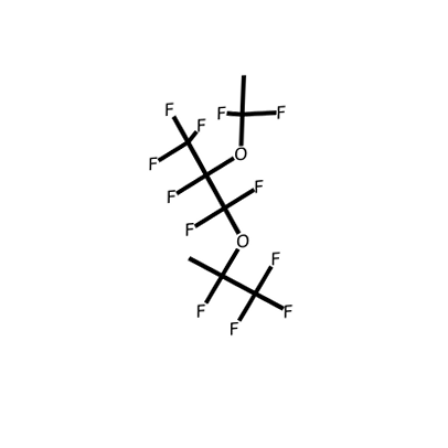 CC(F)(F)OC(F)(C(F)(F)F)C(F)(F)OC(C)(F)C(F)(F)F